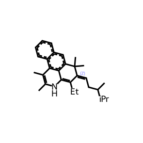 CCC1=C2NC(C)=C(C)c3c2c(cc2ccccc32)C(C)(C)/C1=C/CC(C)C(C)C